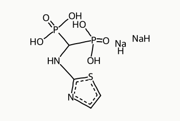 O=P(O)(O)C(Nc1nccs1)P(=O)(O)O.[NaH].[NaH]